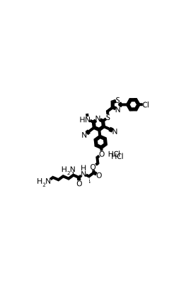 CNc1nc(SCc2csc(-c3ccc(Cl)cc3)n2)c(C#N)c(-c2ccc(OCCOC(=O)[C@H](C)NC(=O)[C@@H](N)CCCCN)cc2)c1C#N.Cl.Cl